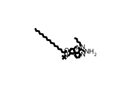 CCCCCCCCCCCCCCCCC(=O)N(Cc1ccc(Cn2c(CCCC)nc3c(N)nc4ccccc4c32)cc1)C(C)(C)C